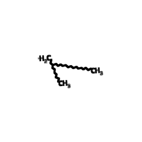 [CH2]CCC(CCCCCCCC)CCCCCCCCCCCCCCCC